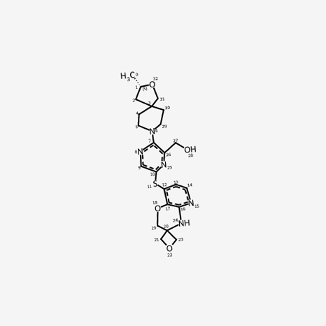 C[C@H]1CC2(CCN(c3ncc(Sc4ccnc5c4OCC4(COC4)N5)nc3CO)CC2)CO1